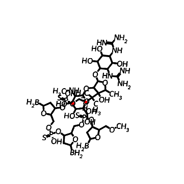 BC1CC(OP(O)(=S)OCC2OC(B)CC2OP(O)(=S)OCC2OC(B)CC2OP(O)(=S)OCNC(C)(C)C2(O)C(C)OC(OC3C(O)C(O)C(NC(=N)N)C(O)C3NC(=N)N)C2OC2OC(CO)C(O)C(O)C2NC)C(COC)O1